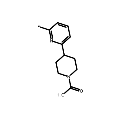 CC(=O)N1CCC(c2cccc(F)n2)CC1